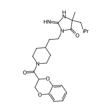 CC(C)CC1(C)NC(=N)N(CCC2CCN(C(=O)C3COc4ccccc4O3)CC2)C1=O